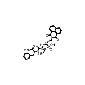 CNC(=O)[C@H](Cc1ccccc1)NC(=O)[C@H](CC(C)C)N[C@@H](CCN1C(=O)c2cccc3cccc(c23)C1=O)P(=O)(O)O